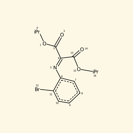 CC(C)OC(=O)C(=Nc1ccccc1Br)C(=O)OC(C)C